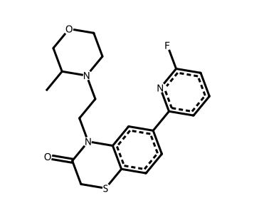 CC1COCCN1CCN1C(=O)CSc2ccc(-c3cccc(F)n3)cc21